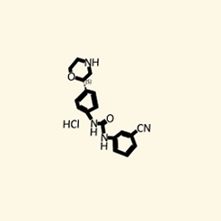 Cl.N#Cc1cccc(NC(=O)Nc2ccc([C@H]3CNCCO3)cc2)c1